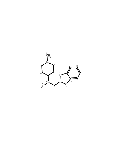 CN1CCC(N(C)CC2Oc3ccccc3O2)CC1